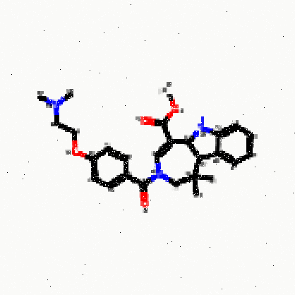 CC(C)OC(=O)C1=CN(C(=O)c2ccc(OCCN(C)C)cc2)CC(C)(C)C2c3ccccc3NC12